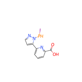 O=C(O)c1cccc(-c2ccnn2PI)n1